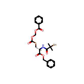 CC(C)(S)C(=O)N[C@@H](CSC(=O)OCOC(=O)c1ccccc1)C(=O)OCc1ccccc1